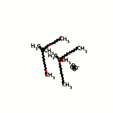 CCCCCCCCCCCCCCCC[N+](CC)(CCC)CCCCCCCCCCCCCCCC.CCCCCCCCCCCCCCCC[N+](CC)(CCC)CCCCCCCCCCCCCCCC.O=S(=O)([O-])[O-]